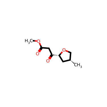 COC(=O)CC(=O)[C@H]1C[C@@H](C)CO1